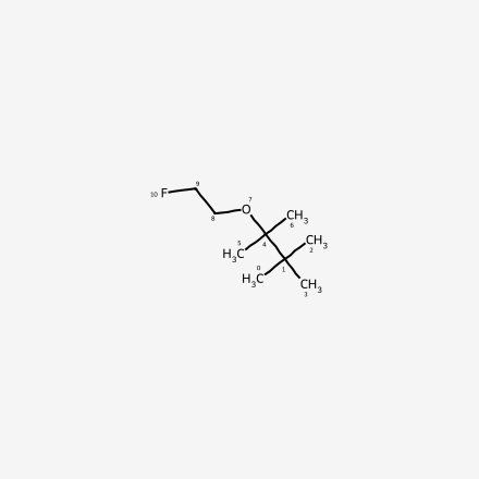 CC(C)(C)C(C)(C)OCCF